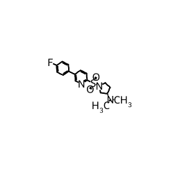 CN(C)[C@@H]1CCN(S(=O)(=O)c2ccc(-c3ccc(F)cc3)cn2)C1